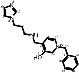 OC1=C(CNCCCn2ccnc2)C=CN(Cc2ccccc2)C1